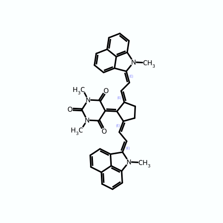 CN1C(=O)C(=C2/C(=C/C=c3\c4cccc5cccc(c54)n3C)CC/C2=C\C=c2/c3cccc4cccc(c43)n2C)C(=O)N(C)C1=O